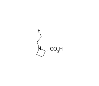 O=C(O)[C@@H]1CCN1CCF